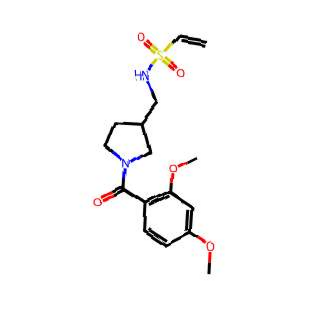 C=CS(=O)(=O)NCC1CCN(C(=O)c2ccc(OC)cc2OC)C1